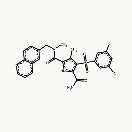 Cc1c(C(=O)N(C)Cc2ccc3ncccc3c2)[nH]c(C(N)=O)c1S(=O)(=O)c1cc(Cl)cc(Cl)c1